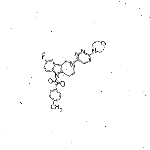 Cc1ccc(S(=O)(=O)n2c3c(c4cc(F)ccc42)CN(c2ccc(N4CCOCC4)nn2)CC3)cc1